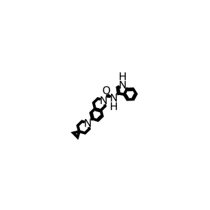 O=C(Nc1c[nH]c2ccccc12)N1CCc2cc(N3CCC4(CC3)CC4)ccc2C1